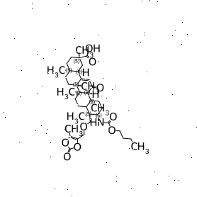 CCCCOC(=O)N[C@H]1CC[C@@]2(C)C(CC[C@]3(C)[C@@H]2C(=O)C=C2[C@@H]4C[C@@](C)(C(=O)O)CC[C@]4(C)CC[C@]23C)[C@]1(C)COCc1oc(=O)oc1C